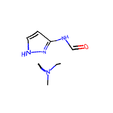 CN(C)C.O=CNc1cc[nH]n1